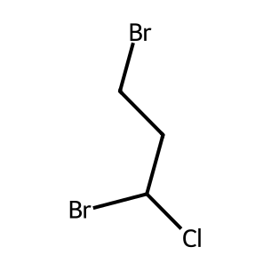 ClC(Br)CCBr